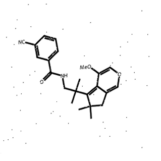 COC1=COC=C2CC(C)(C)C(C(C)(C)CNC(=O)c3cccc(C#N)c3)=C21